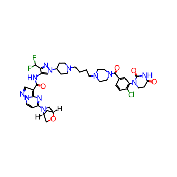 O=C1CCN(c2cc(C(=O)N3CCN(CCCCN4CCC(n5cc(NC(=O)c6cnn7ccc(N8C[C@H]9C[C@@H]8CO9)nc67)c(C(F)F)n5)CC4)CC3)ccc2Cl)C(=O)N1